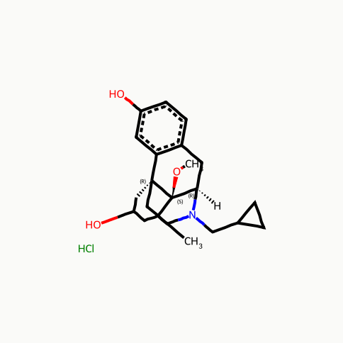 CO[C@@]12C(C)CC(O)C[C@@]13CCN(CC1CC1)[C@@H]2Cc1ccc(O)cc13.Cl